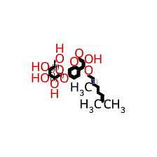 CC(C)=CCC/C(C)=C/COc1c(O)c(=O)oc2cc(O[C@H]3O[C@H](CO)[C@@H](O)[C@H](O)[C@@H]3O)ccc12